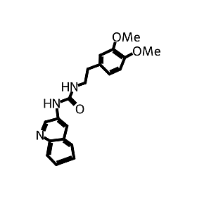 COc1ccc(CCNC(=O)Nc2cnc3ccccc3c2)cc1OC